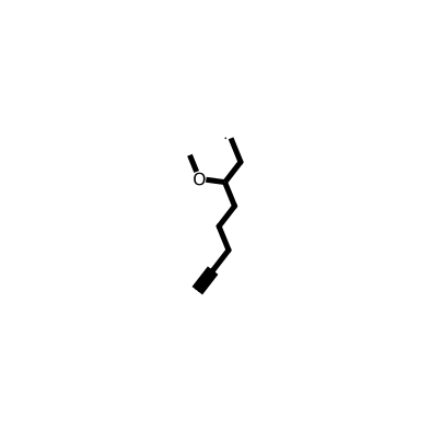 C#CCCCC(C[CH2])OC